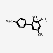 COc1ccc(-c2cc(C(F)(F)F)cc(N)c2[N+](=O)[O-])cc1